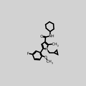 COc1ccc(F)cc1-c1cc(C(=O)NC2CCCCC2)c(C)n1CC1CC1